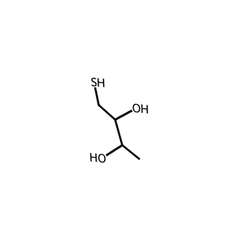 CC(O)C(O)CS